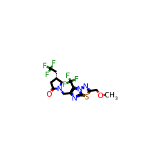 COCc1nn2c(C(F)(F)F)c(CN3C[C@@H](CC(F)(F)F)CC3=O)nc2s1